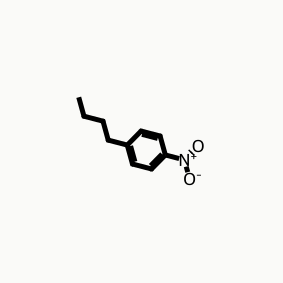 CCCCc1ccc([N+](=O)[O-])cc1